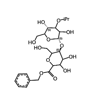 CC(C)OC1C(O)[C@H](O[C@@H]2C(CO)OC(C(=O)OCc3ccccc3)C(O)C2O)OC(CO)[C@@H]1O